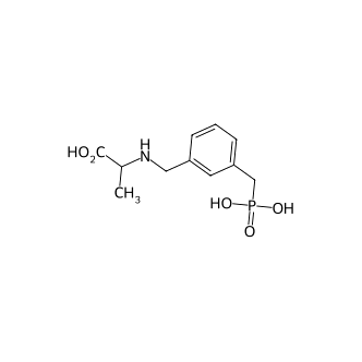 CC(NCc1cccc(CP(=O)(O)O)c1)C(=O)O